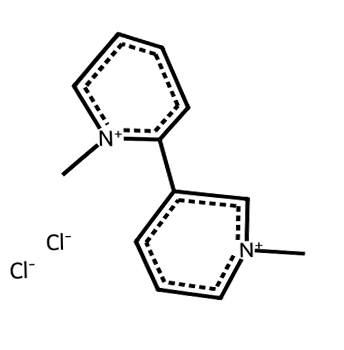 C[n+]1cccc(-c2cccc[n+]2C)c1.[Cl-].[Cl-]